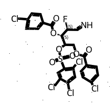 N=C[C@H](F)[C@@H](OC(=O)c1ccc(Cl)cc1)C(COC(=O)c1ccc(Cl)cc1)OS(=O)(=O)c1cc(Cl)c(Cl)cc1Cl